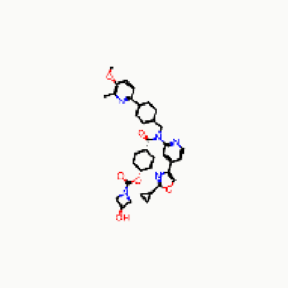 COc1ccc(C2CCC(CN(c3cc(-c4coc(C5CC5)n4)ccn3)C(=O)[C@H]3CC[C@@H](OC(=O)N4CC(O)C4)CC3)CC2)nc1C